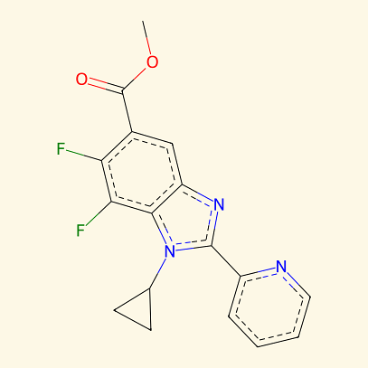 COC(=O)c1cc2nc(-c3ccccn3)n(C3CC3)c2c(F)c1F